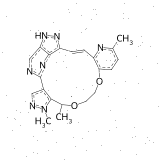 Cc1ccc2c(n1)/C=C/c1n[nH]c3cnc(nc13)-c1cnn(C)c1C(C)OCCO2